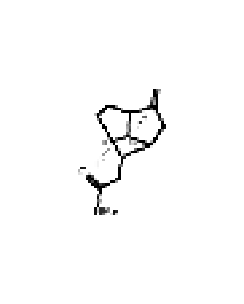 C=C1CC2C(CC(=O)NC)[C@H]3CCC1[C@@H]23